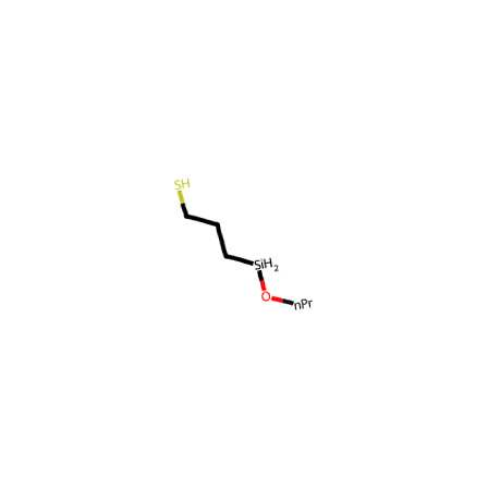 CCCO[SiH2]CCCS